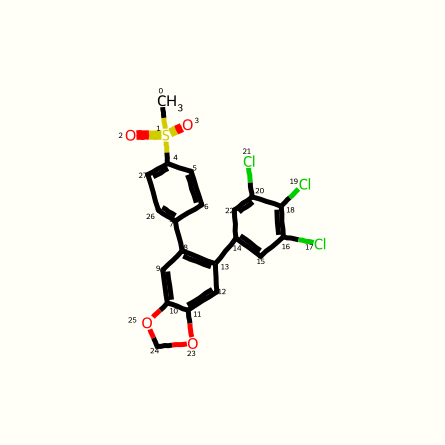 CS(=O)(=O)c1ccc(-c2cc3c(cc2-c2cc(Cl)c(Cl)c(Cl)c2)OCO3)cc1